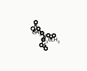 CC1CC=CC2N(c3ccccc3)c3ccc(-c4ccc(N(c5ccc(-c6cccc7c6sc6ccccc67)cc5)c5ccc6c(c5)C(C)(C)c5ccccc5-6)cc4)cc3C12C